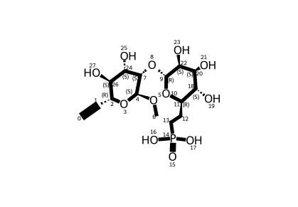 C#C[C@H]1O[C@H](OC)[C@@H](O[C@H]2O[C@H](CCP(=O)(O)O)[C@@H](O)[C@H](O)[C@@H]2O)[C@@H](O)[C@@H]1O